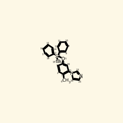 Cc1ccc(O[Si](c2ccccc2)(c2ccccc2)C(C)(C)C)cc1-n1[c]ncc1